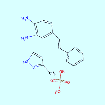 Cc1cc[nH]n1.Nc1ccc(C=Cc2ccccc2)cc1N.O=S(=O)(O)O